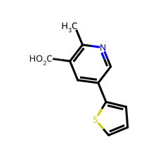 Cc1ncc(-c2cccs2)cc1C(=O)O